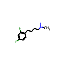 CNCCCCc1ccc(F)cc1F